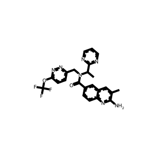 Cc1cc2cc(C(=O)N(Cc3ccc(OC(F)(F)F)nn3)C(C)c3ncccn3)ccc2nc1N